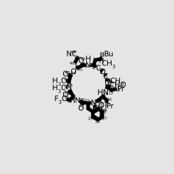 CCCC[C@@H](C)CC1COCN(C)[C@@](C=O)(CC(C)C)NC(CC(C)C)C(=O)N(C)C(Cc2ccccc2)C(=O)NC(CC(F)(F)F)C(=O)N(C)C(C)C(=O)O[C@H](CCC#N)C(=O)N1